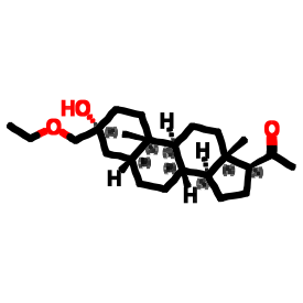 CCOC[C@@]1(O)CC[C@@]2(C)[C@H](CC[C@@H]3[C@@H]2CC[C@]2(C)[C@@H](C(C)=O)CC[C@@H]32)C1